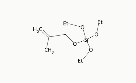 C=C(C)CO[Si](OCC)(OCC)OCC